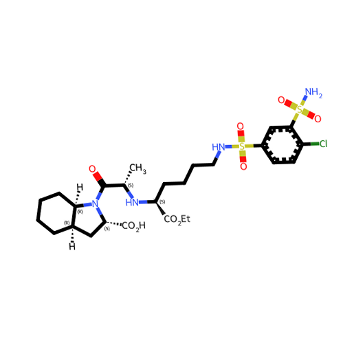 CCOC(=O)[C@H](CCCCNS(=O)(=O)c1ccc(Cl)c(S(N)(=O)=O)c1)N[C@@H](C)C(=O)N1[C@@H]2CCCC[C@@H]2C[C@H]1C(=O)O